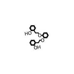 Oc1ccccc1CCOc1ccccc1OCCc1ccccc1O